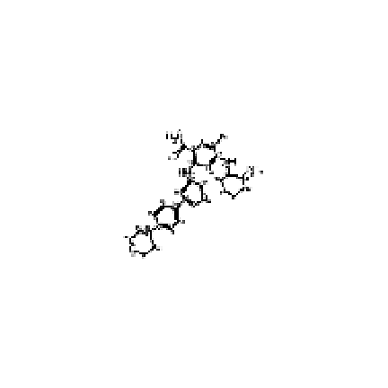 NC(=O)c1cc(F)c(NC2CCCCC2N)nc1Nc1cncc(-c2ccc(N3CCOCC3)cc2)c1